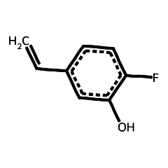 C=Cc1ccc(F)c(O)c1